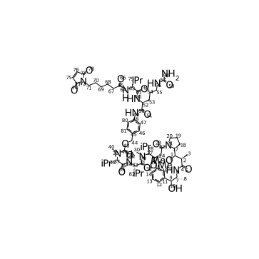 CO[C@H]([C@@H](C)C(=O)N[C@H](C)C(O)c1ccccc1)[C@@H]1CCCN1C(=O)C[C@@H](OC)[C@H](C(C)C)N(C)C(=O)[C@@H](NC(=O)[C@H](C(C)C)N(C)C(=O)OCc1ccc(NC(=O)[C@H](CCCNC(N)=O)NC(=O)[C@@H](NC(=O)CCCCCN2C(=O)C=CC2=O)C(C)C)cc1)C(C)C